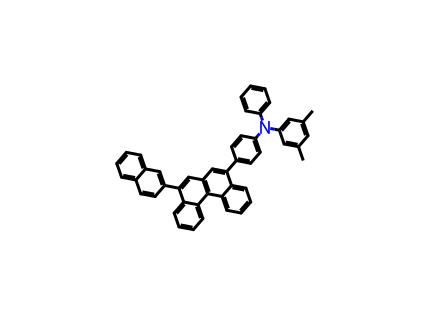 Cc1cc(C)cc(N(c2ccccc2)c2ccc(-c3cc4cc(-c5ccc6ccccc6c5)c5ccccc5c4c4ccccc34)cc2)c1